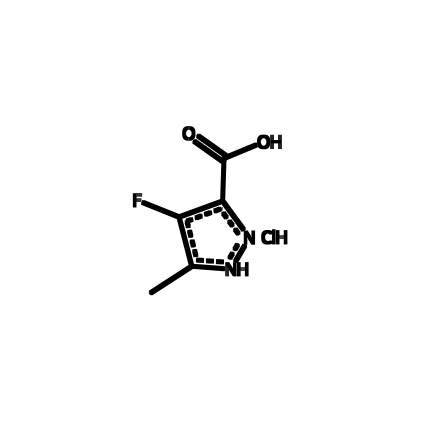 Cc1[nH]nc(C(=O)O)c1F.Cl